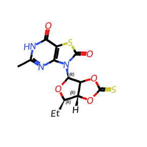 CC[C@H]1O[C@@H](n2c(=O)sc3c(=O)[nH]c(C)nc32)C2OC(=S)O[C@@H]21